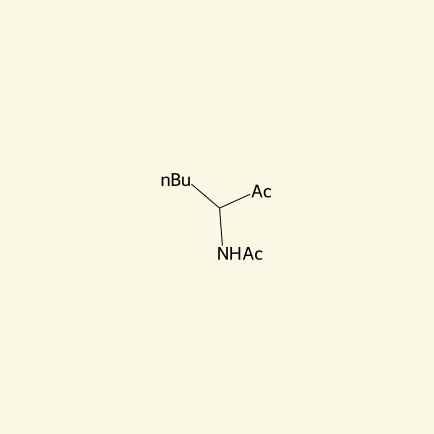 CCCCC(NC(C)=O)C(C)=O